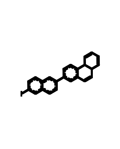 Ic1ccc2cc(-c3ccc4c(c3)C=CC3C=CC=CC43)ccc2c1